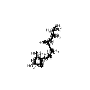 CC(CN)(CNCCN)NCCNC(C)(CN)NC(=O)CCCC(=O)NC(Cc1ccc(O)cc1)C(=O)NCCCCCC(=O)NC(CSC1CC(=O)N(CCC(=O)NCCCCC2NC(=O)[C@@H](Cc3ccccc3)NC(=O)C(CC(=O)O)NC(=O)CNC(=O)C(CCCNC(=N)N)NC2=O)C1=O)C(N)=O